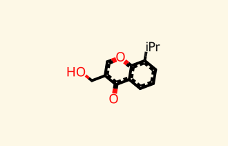 CC(C)c1cccc2c(=O)c(CO)coc12